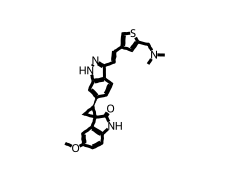 COc1ccc2c(c1)C1(C[C@H]1c1ccc3c(/C=C/c4csc(CN(C)C)c4)n[nH]c3c1)C(=O)N2